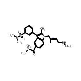 Cc1c(-c2cccc(S(=O)(=O)N(C)C)c2)c2cc(C(=O)N(C)C)ccc2n1C/C(F)=C/CNC(=O)O